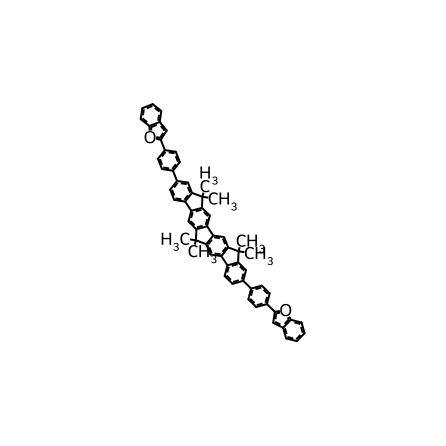 CC1(C)c2cc(-c3ccc(-c4cc5ccccc5o4)cc3)ccc2-c2cc3c(cc21)-c1cc2c(cc1C3(C)C)-c1ccc(-c3ccc(-c4cc5ccccc5o4)cc3)cc1C2(C)C